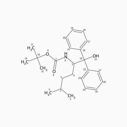 CC(C)CCC(NC(=O)OC(C)(C)C)C(O)(c1ccccc1)c1ccccc1